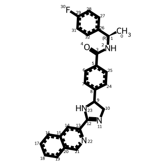 C[C@@H](NC(=O)c1ccc(C2CN=C(c3cc4ccccc4cn3)N2)cc1)c1ccc(F)cc1